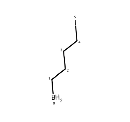 BCCCCI